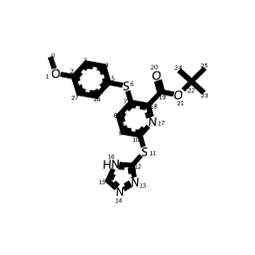 COc1ccc(Sc2ccc(Sc3nnc[nH]3)nc2C(=O)OC(C)(C)C)cc1